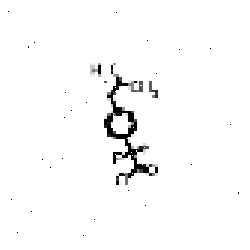 CC(C)Cc1ccc(C(F)(F)C(=O)Cl)cc1